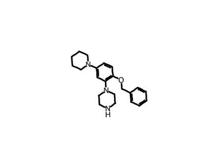 c1ccc(COc2ccc(N3CCCCC3)cc2N2CCNCC2)cc1